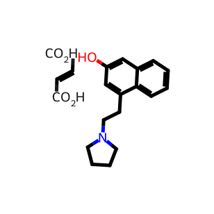 O=C(O)/C=C/C(=O)O.Oc1cc(CCN2CCCC2)c2ccccc2c1